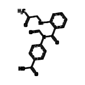 CC(=O)C[Se]c1ccccc1C(=O)N(C=O)c1ccc(C(=O)O)cc1